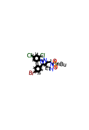 CCCCS(=O)(=O)NCc1nn(-c2ccc(Cl)cc2Cl)c(-c2ccc(Br)cc2)c1CC